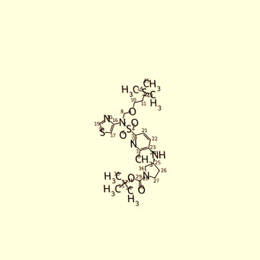 Cc1nc(S(=O)(=O)N(COCCS(C)(C)C)c2cscn2)ccc1N[C@H]1CCN(C(=O)OC(C)(C)C)C1